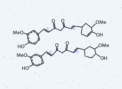 COc1cc(/C=C/C(=O)CC(=O)/C=C/C2CC=C(O)C(OC)C2)ccc1O.COc1cc(/C=C/C(=O)CC(=O)/C=C/C2CCC(O)C(OC)C2)ccc1O